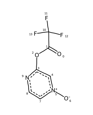 O=C(Oc1c[n+]([O-])ccn1)C(F)(F)F